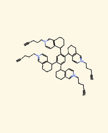 C#CCCC[n+]1ccc2c(c1)CCCC2c1cc(C2CCCc3c[n+](CCCC#C)ccc32)c(C2CCCc3c[n+](CCCC#C)ccc32)cc1C1CCCc2c[n+](CCCC#C)ccc21